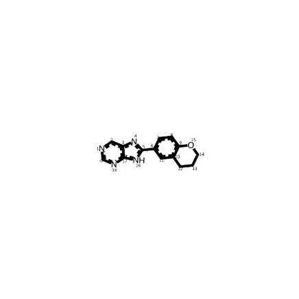 c1ncc2nc(-c3ccc4c(c3)CCCO4)[nH]c2n1